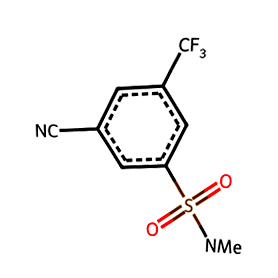 CNS(=O)(=O)c1cc(C#N)cc(C(F)(F)F)c1